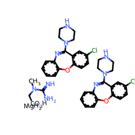 CN(CC(=O)O)C(=N)N.Clc1ccc2c(c1)C(N1CCNCC1)=Nc1ccccc1O2.Clc1ccc2c(c1)C(N1CCNCC1)=Nc1ccccc1O2.[MgH2]